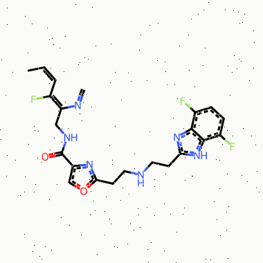 C=N/C(CNC(=O)c1coc(CCNCCc2nc3c(F)ccc(F)c3[nH]2)n1)=C(F)\C=C/C